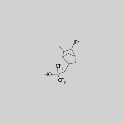 CC(C)C1C2CC(CC(O)(C(F)(F)F)C(F)(F)F)C(C2)C1C